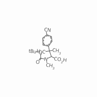 CN(C(=O)OC(C)(C)C)C(C(=O)O)C(C)(C)c1ccc(C#N)cc1